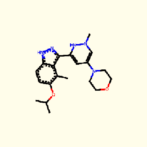 Cc1c(OC(C)C)ccc2[nH]nc(C3=CC(N4CCOCC4)=CN(C)N3)c12